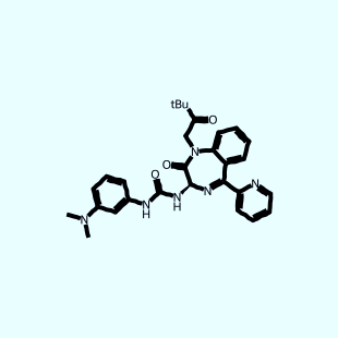 CN(C)c1cccc(NC(=O)N[C@@H]2N=C(c3ccccn3)c3ccccc3N(CC(=O)C(C)(C)C)C2=O)c1